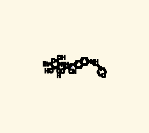 CC[C@H]1OC(O)[C@H](NC(=O)/C(C#N)=C/c2ccc3cc(NCCN4CCOCC4)ccc3c2)[C@@H](O)[C@@H]1O